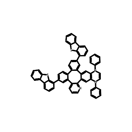 c1ccc(-n2ccn(-c3ccccc3)c3cc4c(cc32)c2cc(-c3cccc5c3sc3ccccc35)ccc2c2ccc(-c3cccc5c3sc3ccccc35)cc2c2cccnc24)cc1